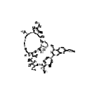 COc1ccc2c(OC3C[C@H]4C(=O)N[C@]5(C(=O)NS(=O)(=O)C6(C)CC6)C[C@H]5/C=C\CC[C@H](C)C[C@@H](C)[C@H](NC(=O)OC(C)(C)C)C(=O)N4C3)nc(-c3ccc(OC(C)C)nc3)cc2c1